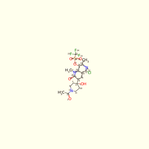 CC(=O)N1CCC(O)(c2cc3c(Cl)nc(C)c(OS(=O)(=O)C(F)(F)F)c3n(C)c2=O)CC1